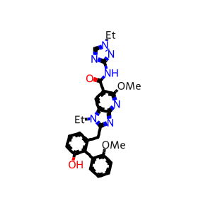 CCn1cnc(NC(=O)c2cc3c(nc2OC)nc(Cc2cccc(O)c2-c2ccccc2OC)n3CC)n1